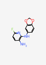 Nc1ccc(F)nc1Nc1ccc2c(c1)OCO2